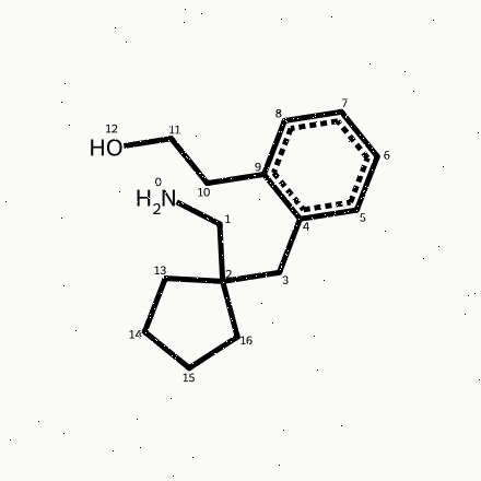 NCC1(Cc2ccccc2CCO)CCCC1